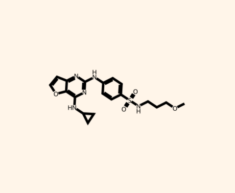 COCCCNS(=O)(=O)c1ccc(Nc2nc(NC3CC3)c3occc3n2)cc1